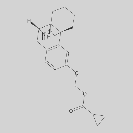 O=C(OCOc1ccc2c(c1)[C@@]13CCCC[C@H]1[C@@H](C2)NCC3)C1CC1